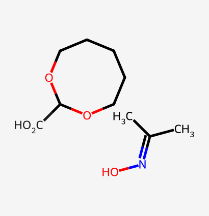 CC(C)=NO.O=C(O)C1OCCCCCO1